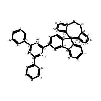 c1ccc(-c2nc(-c3ccccc3)nc(-c3ccc4c(c3)-c3ccccc3C43c4ccccc4CCc4ccccc43)n2)cc1